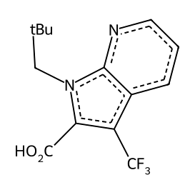 CC(C)(C)Cn1c(C(=O)O)c(C(F)(F)F)c2cccnc21